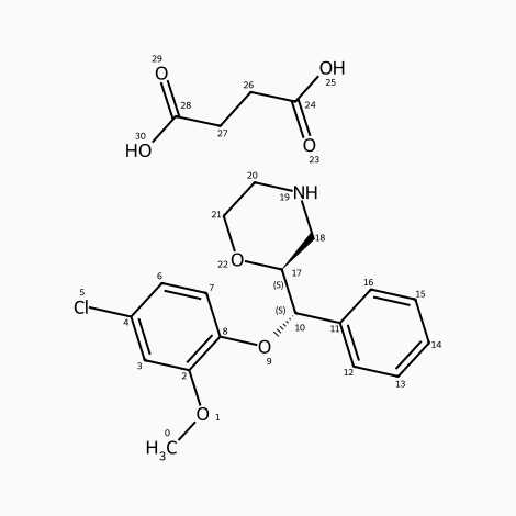 COc1cc(Cl)ccc1O[C@@H](c1ccccc1)[C@@H]1CNCCO1.O=C(O)CCC(=O)O